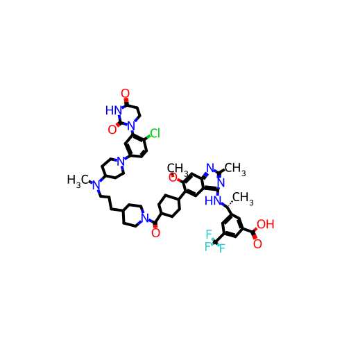 COc1cc2nc(C)nc(N[C@H](C)c3cc(C(=O)O)cc(C(F)(F)F)c3)c2cc1C1CCC(C(=O)N2CCC(CCCN(C)C3CCN(c4ccc(Cl)c(N5CCC(=O)NC5=O)c4)CC3)CC2)CC1